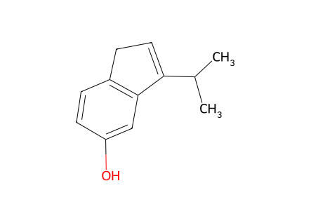 CC(C)C1=CCc2ccc(O)cc21